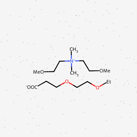 CCOCCOCCC(=O)[O-].COCC[N+](C)(C)CCOC